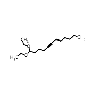 CCCC/C=C/C#CCCCC(OCC)OCC